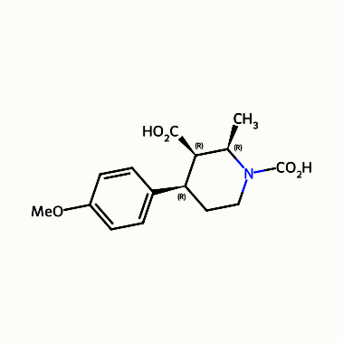 COc1ccc([C@@H]2CCN(C(=O)O)[C@H](C)[C@@H]2C(=O)O)cc1